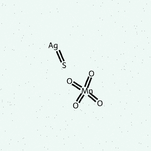 [O]=[Mn](=[O])(=[O])=[O].[S]=[Ag]